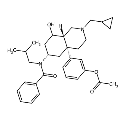 CC(=O)Oc1cccc([C@@]23CCN(CC4CC4)C[C@H]2C(O)C[C@@H](N(CC(C)C)C(=O)c2ccccc2)C3)c1